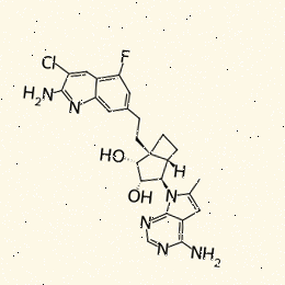 Cc1cc2c(N)ncnc2n1[C@H]1[C@H](O)[C@H](O)[C@]2(CCc3cc(F)c4cc(Cl)c(N)nc4c3)CC[C@H]12